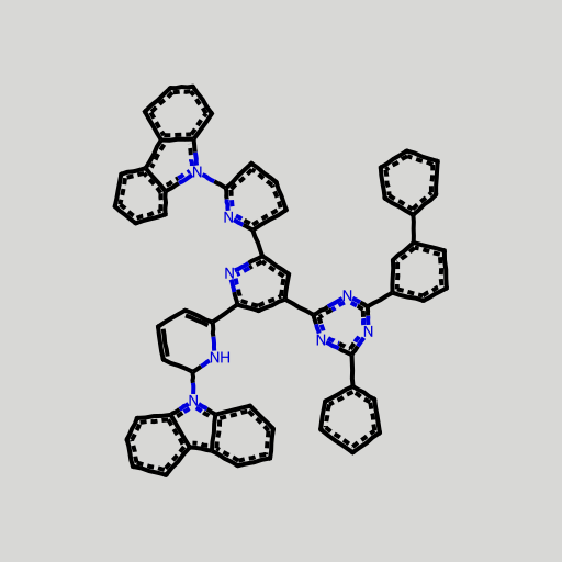 C1=CC(n2c3ccccc3c3ccccc32)NC(c2cc(-c3nc(-c4ccccc4)nc(-c4cccc(-c5ccccc5)c4)n3)cc(-c3cccc(-n4c5ccccc5c5ccccc54)n3)n2)=C1